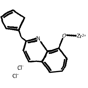 [Cl-].[Cl-].[Zr+2][O]c1cccc2ccc(C3=CC=CC3)nc12